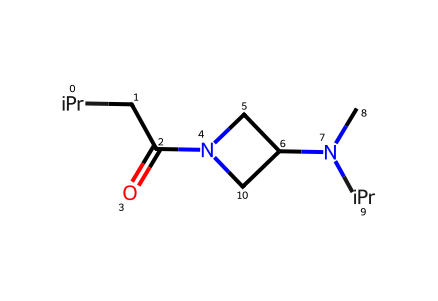 CC(C)CC(=O)N1CC(N(C)C(C)C)C1